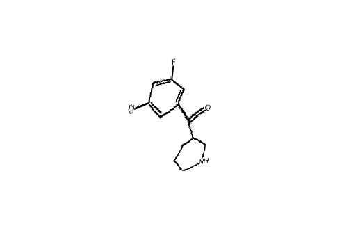 O=C(c1cc(F)cc(Cl)c1)C1CCCNC1